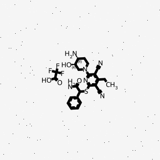 CCc1c(C#N)c(SC(C(N)=O)c2ccccc2)nc(N2CC[C@@H](N)[C@H](O)C2)c1C#N.O=C(O)C(F)(F)F